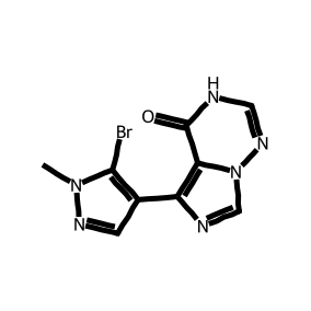 Cn1ncc(-c2ncn3nc[nH]c(=O)c23)c1Br